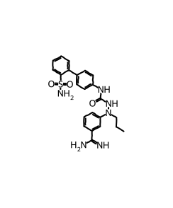 CCCN(NC(=O)Nc1ccc(-c2ccccc2S(N)(=O)=O)cc1)c1cccc(C(=N)N)c1